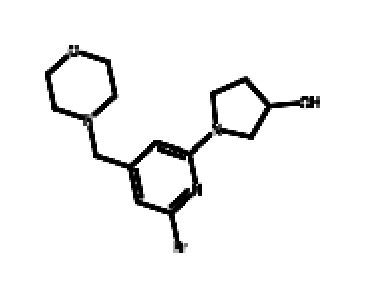 OC1CCN(c2cc(CN3CCOCC3)cc(Br)n2)C1